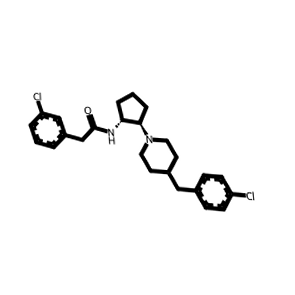 O=C(Cc1cccc(Cl)c1)N[C@@H]1CCC[C@H]1N1CCC(Cc2ccc(Cl)cc2)CC1